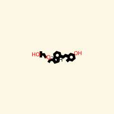 C=C1CC[C@H](O)C/C1=C/C=C1\CCC[C@]2(C)C(C(C)OCCC(C)(C)O)=CC[C@@H]12